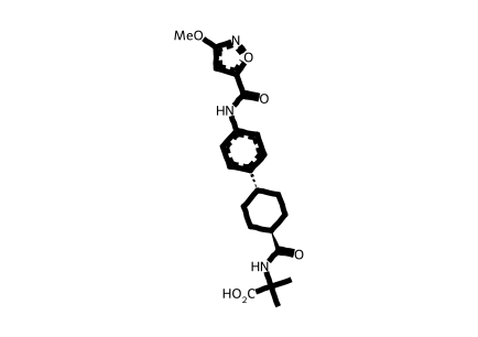 COc1cc(C(=O)Nc2ccc([C@H]3CC[C@H](C(=O)NC(C)(C)C(=O)O)CC3)cc2)on1